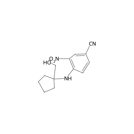 N#Cc1ccc(NC2(CO)CCCC2)c([N+](=O)[O-])c1